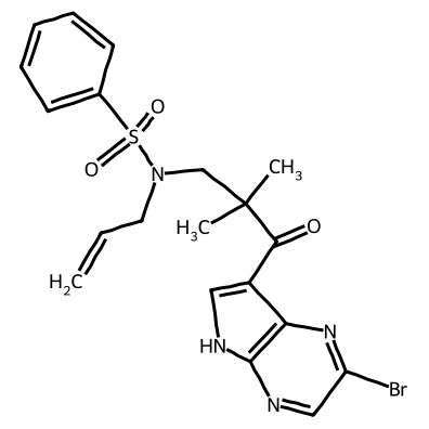 C=CCN(CC(C)(C)C(=O)c1c[nH]c2ncc(Br)nc12)S(=O)(=O)c1ccccc1